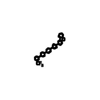 FC(F)(F)c1cccc(-c2ccc(-c3ccc(-c4ccc(-c5ccc6oc7ccccc7c6c5)cc4)cc3)cc2)c1